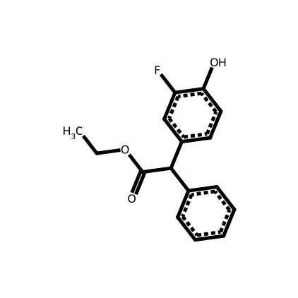 CCOC(=O)C(c1ccccc1)c1ccc(O)c(F)c1